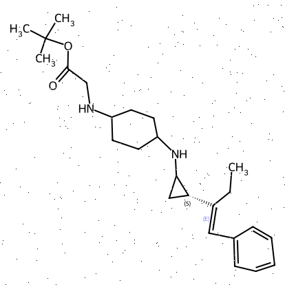 CC/C(=C\c1ccccc1)[C@@H]1CC1NC1CCC(NCC(=O)OC(C)(C)C)CC1